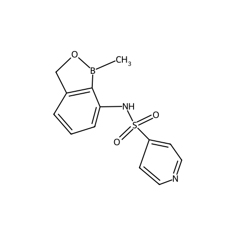 CB1OCc2cccc(NS(=O)(=O)c3ccncc3)c21